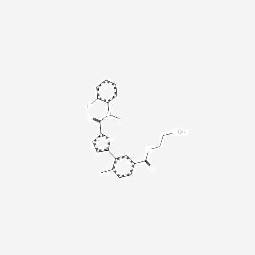 COCCOC(=O)c1ccc(C)c(-c2ccc(C(=O)N(F)c3ccccc3F)s2)c1